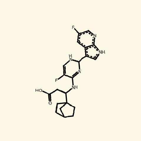 O=C(O)CC(NC1=NC(c2c[nH]c3ncc(F)cc23)NC=C1F)C12CCC(CC1)C2